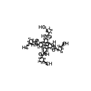 C#Cc1cccc(C(=O)Nc2ccc(C(c3ccc(NC(=O)c4cccc(C#C)c4)cc3)(c3ccc(NC(=O)c4cccc(C#C)c4)cc3)c3ccc(NC(=O)c4cccc(C#C)c4)cc3)cc2)c1